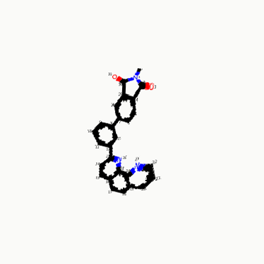 CN1C(=O)c2ccc(-c3cccc(-c4ccc5ccc6cccnc6c5n4)c3)cc2C1=O